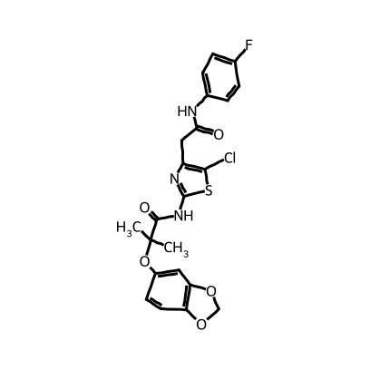 CC(C)(Oc1ccc2c(c1)OCO2)C(=O)Nc1nc(CC(=O)Nc2ccc(F)cc2)c(Cl)s1